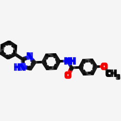 COc1ccc(C(=O)Nc2ccc(-c3c[nH]c(-c4ccccc4)n3)cc2)cc1